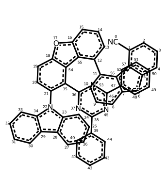 N#Cc1cccc2sc3cccc(-c4cccc5oc6ccc(-n7c8ccccc8c8ccccc87)c(-c7nc(-c8ccccc8)nc(-c8ccccc8)n7)c6c45)c3c12